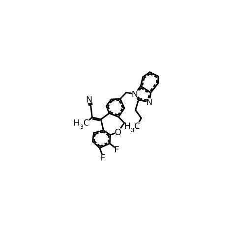 CCCc1nc2ccccc2n1Cc1ccc2c(c1)COc1c(ccc(F)c1F)/C2=C(\C)C#N